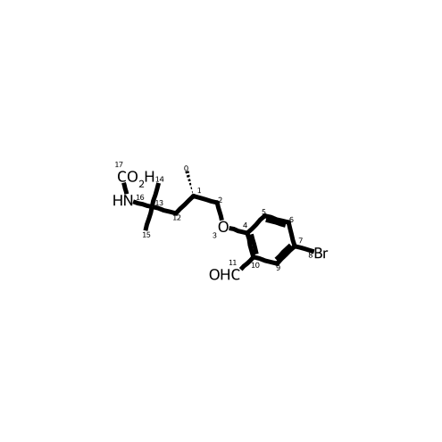 C[C@H](COc1ccc(Br)cc1C=O)CC(C)(C)NC(=O)O